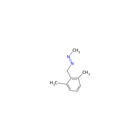 CN=NCc1c(C)cccc1C